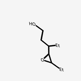 CCC(CCO)C1OC1CC